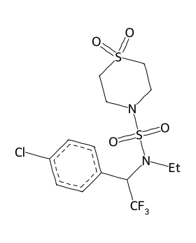 CCN(C(c1ccc(Cl)cc1)C(F)(F)F)S(=O)(=O)N1CCS(=O)(=O)CC1